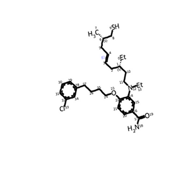 CC[C@@H](C/C=C/C[C@H](C)CS)CCN(CC)c1cc(C(N)=O)ccc1OCCCCc1cccc(Cl)c1